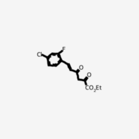 CCOC(=O)C(=O)CC(=O)/C=C/c1ccc(Cl)cc1F